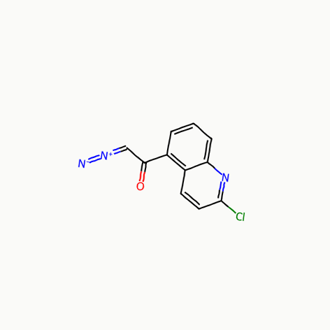 [N-]=[N+]=CC(=O)c1cccc2nc(Cl)ccc12